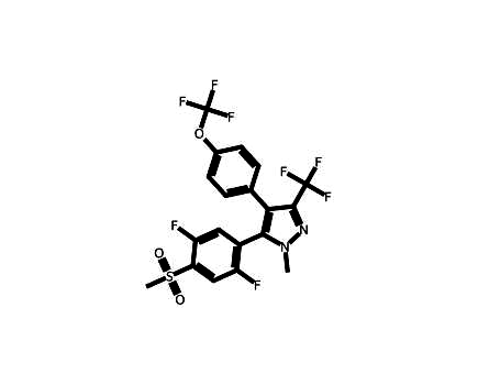 Cn1nc(C(F)(F)F)c(-c2ccc(OC(F)(F)F)cc2)c1-c1cc(F)c(S(C)(=O)=O)cc1F